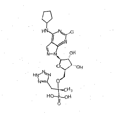 C[C@@](Cc1nn[nH]n1)(OC[C@H]1O[C@@H](n2ncc3c(NC4CCCC4)nc(Cl)nc32)[C@H](O)[C@@H]1O)P(=O)(O)O